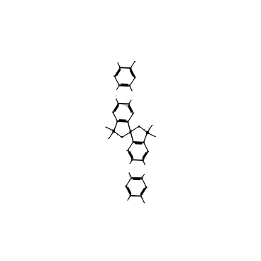 CCc1cc2c(cc1C(C)C)Oc1cc3c(cc1O2)C1(CC3(C)C)CC(C)(C)c2cc3c(cc21)Oc1cc(C(C)C)c(C(C)C)cc1O3